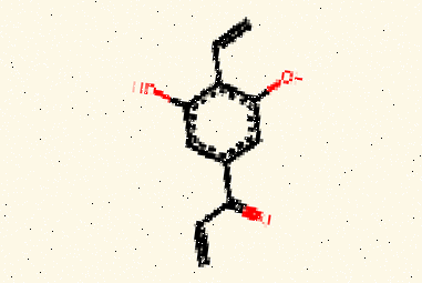 C=CC(=O)c1cc(O)c(C=C)c(O)c1